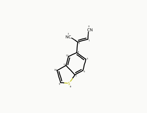 N#C/C=C(\C#N)c1ccc2sccc2c1